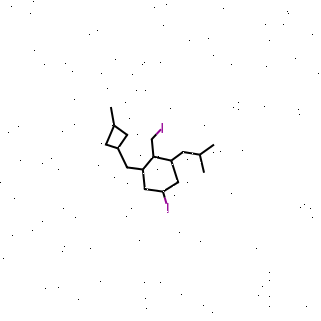 CC(C)CC1CC(I)CC(CC2CC(C)C2)C1CI